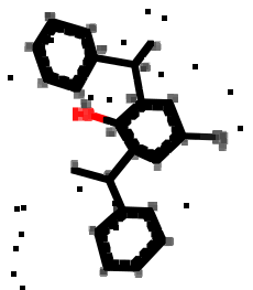 CCc1cc(C(C)c2ccccc2)c(O)c(C(C)c2ccccc2)c1